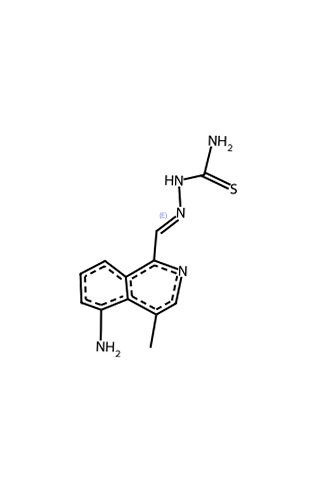 Cc1cnc(/C=N/NC(N)=S)c2cccc(N)c12